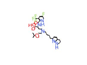 CC(C)OCCN(CCCCc1ccc2c(n1)NCCC2)CCC(NC(=O)c1ncc(F)cc1C(F)(F)F)C(=O)O